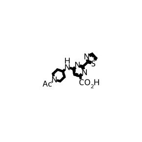 CC(=O)N1CCC(Nc2cc(C(=O)O)nc(-c3nccs3)n2)CC1